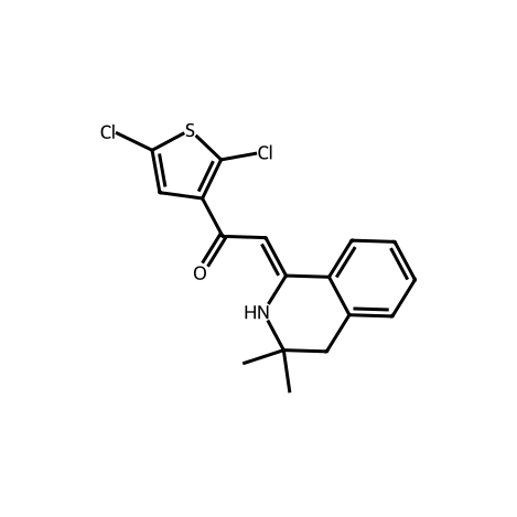 CC1(C)Cc2ccccc2C(=CC(=O)c2cc(Cl)sc2Cl)N1